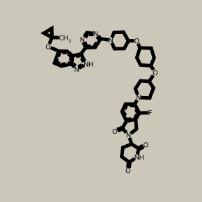 CC1(Oc2ccc3n[nH]c(-c4cc(N5CCC(OC6CCC(OC7CCN(c8ccc9c(c8F)CN(C8CCC(=O)NC8=O)C9=O)CC7)CC6)CC5)ncn4)c3c2)CC1